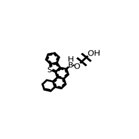 CC(C)(O)C(C)(C)OBc1cc2ccc3c(c2c2sc4ccccc4c12)CCC=C3